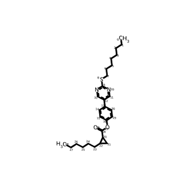 CCCCCCCCSc1ncc(-c2ccc(OC(=O)C3CC3CCCCCC)cc2)cn1